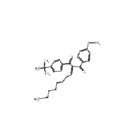 CCCCCCCC=C(C(=O)c1ccc(OC)cc1)C(=O)c1ccc(C(C)(C)C)cc1